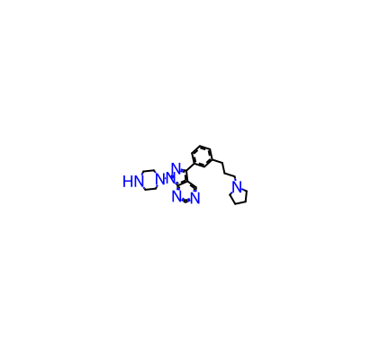 c1cc(CCCN2CCCC2)cc(-c2nn(N3CCNCC3)c3ncncc23)c1